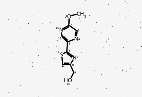 COc1cnc(-c2nc(CO)cs2)cn1